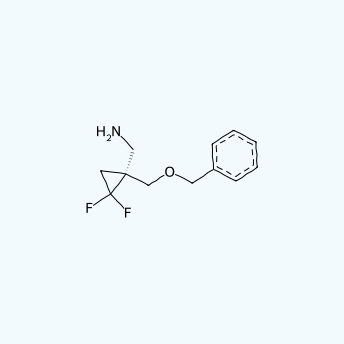 NC[C@@]1(COCc2ccccc2)CC1(F)F